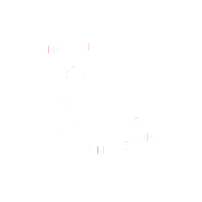 CCC(O)(CC)CCCC(C)c1cccc(OCc2ccc(C(O)O)cc2)c1